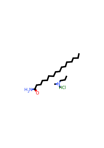 CCCCCCCCCCCCCCCC(N)=O.CCCN(C)C.Cl